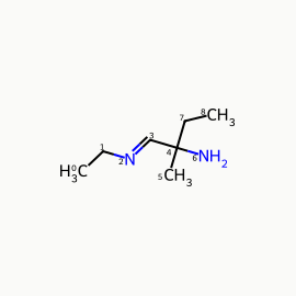 CCN=CC(C)(N)CC